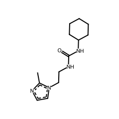 Cc1nccn1CCNC(=O)NC1CCCCC1